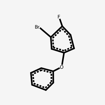 Fc1ccc(Oc2ccccc2)cc1Br